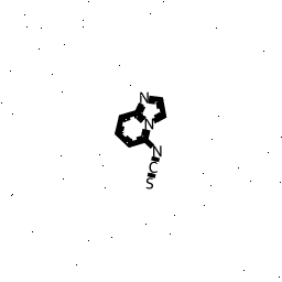 S=C=Nc1cccc2nccn12